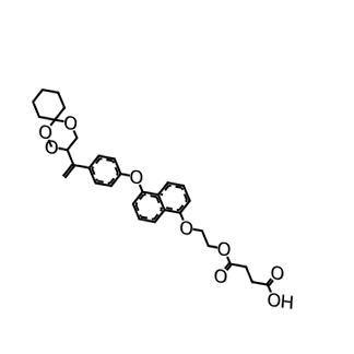 C=C(c1ccc(Oc2cccc3c(OCCOC(=O)CCC(=O)O)cccc23)cc1)C1COC2(CCCCC2)OO1